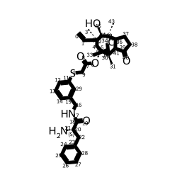 C=C[C@]1(C)C[C@@H](OC(=O)CSc2cccc(CNC(=O)[C@@H](N)Cc3ccccc3)c2)[C@]2(C)C(C)CCC3(CCC(=O)C32)[C@@H](C)[C@@H]1O